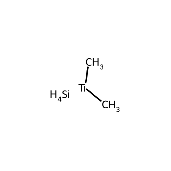 [CH3][Ti][CH3].[SiH4]